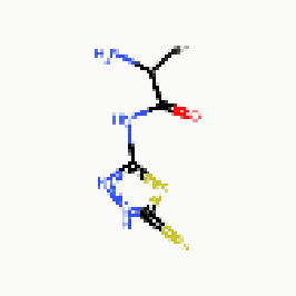 CC(C)C(N)C(=O)Nc1n[nH]c(=S)s1